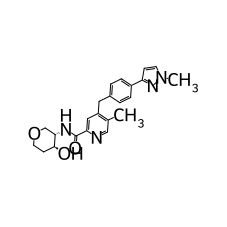 Cc1cnc(C(=O)N[C@H]2COCC[C@@H]2O)cc1Cc1ccc(-c2ccn(C)n2)cc1